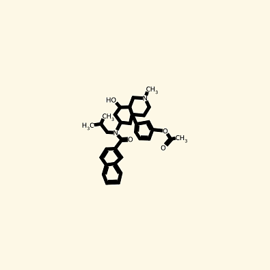 CC(=O)Oc1cccc(C23CCN(C)CC2C(O)CC(N(CC(C)C)C(=O)c2ccc4ccccc4c2)C3)c1